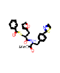 COC(=O)C(Cc1ccc(-c2nccs2)cc1)NC(=O)C(CSC(=O)c1ccccc1)Cc1ccco1